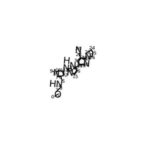 COCCNCC1=CN(C)CC(Nc2nccc(-c3cnc(N4CCCC4)c(C#N)c3)n2)=C1